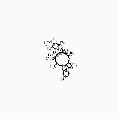 CO[C@]1(C)C[C@@H](C)CN(C)[C@@H](C(=O)N2CCN(C(C)C)CC2)[C@H](C)OC(=O)C(C)(C)C(=O)[C@H](C)[C@H]1O[C@@H]1O[C@H](C)C[C@H](N(C)C)[C@H]1O